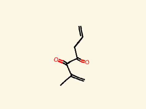 C=CCC(=O)C(=O)C(=C)C